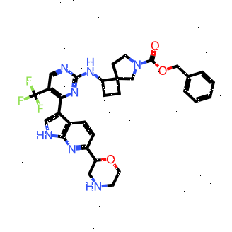 O=C(OCc1ccccc1)N1CCC2(CCC2Nc2ncc(C(F)(F)F)c(-c3c[nH]c4nc(C5CNCCO5)ccc34)n2)C1